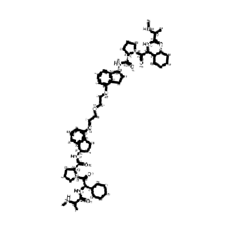 CNC(C)C(=O)NC(C(=O)N1CCC[C@H]1C(=O)N[C@@H]1CCc2c(OCCOCCOc3cccc4c3CC[C@H]4NC(=O)[C@@H]3CCCN3C(=O)C(NC(=O)C(C)NC)C3CCCCC3)cccc21)C1CCCCC1